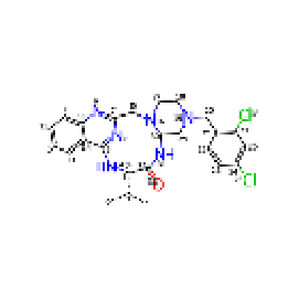 CC(C)[C@@H]1Nc2nc(nc3ccccc23)CN2CCN(Cc3ccc(Cl)cc3Cl)CC2NC1=O